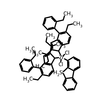 CCc1ccccc1-c1c(CC)ccc2c1C=C(C(C)CC)[CH]2[Zr]([Cl])([Cl])([c]1cccc2c1[SiH2]c1ccccc1-2)[CH]1C(C(C)CC)=Cc2c1ccc(CC)c2-c1ccccc1CC